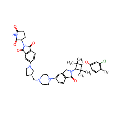 CC1(C)[C@H](Oc2ccc(C#N)c(Cl)c2)C(C)(C)[C@H]1N1Cc2cc(N3CCN(C[C@H]4CCN(c5ccc6c(c5)C(=O)N(C5CCC(=O)NC5=O)C6=O)C4)CC3)ccc2C1=O